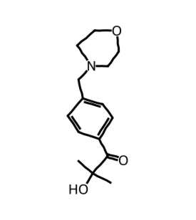 CC(C)(O)C(=O)c1ccc(CN2CCOCC2)cc1